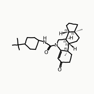 CC(C)(C)C1CCC(NC(=O)N2C[C@H]3[C@@H]4CCC[C@@]4(C)CC[C@@H]3[C@@]3(C)CCC(=O)C=C23)CC1